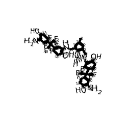 Cc1cc(CNc2cc(C(c3ccc(O)c(N)c3)(C(F)(F)F)C(F)(F)F)ccc2O)c(O)c(CNc2cc(C(c3ccc(O)c(N)c3)(C(F)(F)F)C(F)(F)F)ccc2O)c1